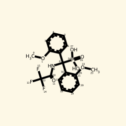 COc1ccccc1C(NC(=O)C(F)(F)F)(c1ccccc1OC)P(=O)(O)O